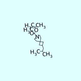 CC(C)CC1CC2(CCN(C(=O)OC(C)(C)C)CC2)C1